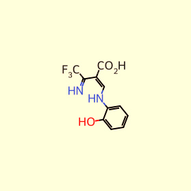 N=C(/C(=C\Nc1ccccc1O)C(=O)O)C(F)(F)F